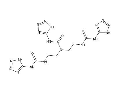 O=C(NCCN(CCNC(=O)Nc1nnn[nH]1)C(=O)Nc1nnn[nH]1)Nc1nnn[nH]1